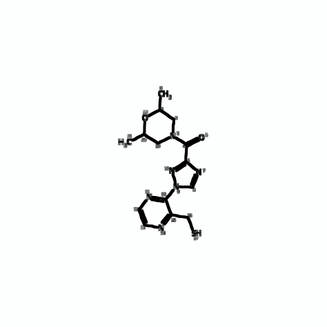 CC1CN(C(=O)c2ncn(-c3nccnc3CS)n2)CC(C)O1